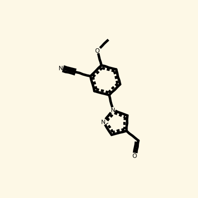 COc1ccc(-n2cc(C=O)cn2)cc1C#N